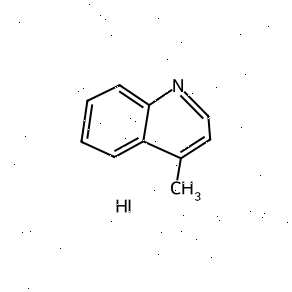 Cc1ccnc2ccccc12.I